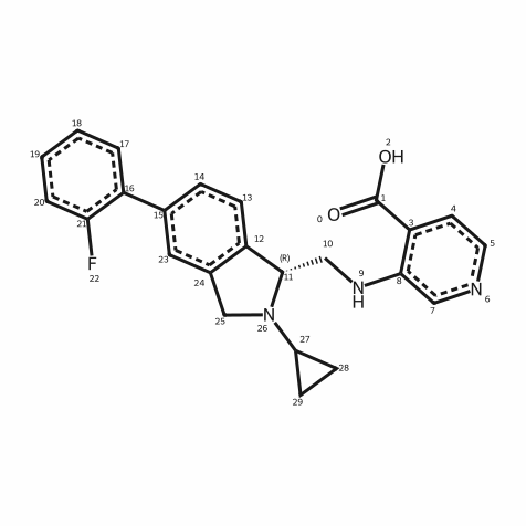 O=C(O)c1ccncc1NC[C@H]1c2ccc(-c3ccccc3F)cc2CN1C1CC1